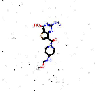 CCOCNC1CCN(C(=O)c2csc3c(O)nc(N)nc23)CC1